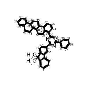 CC1(C)c2ccccc2-c2cc(-c3nc(-c4ccccc4)nc(-c4cccc5c4ccc4c5ccc5c6ccccc6ccc54)n3)ccc21